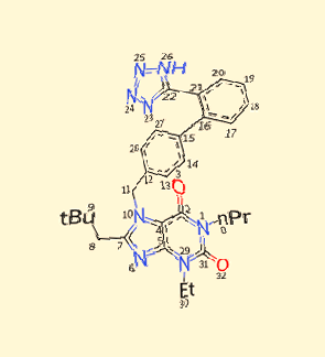 CCCn1c(=O)c2c(nc(CC(C)(C)C)n2Cc2ccc(-c3ccccc3-c3nnn[nH]3)cc2)n(CC)c1=O